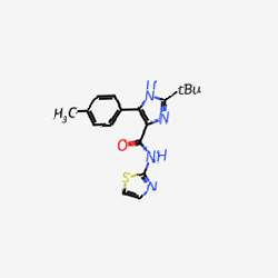 Cc1ccc(-c2[nH]c(C(C)(C)C)nc2C(=O)Nc2nccs2)cc1